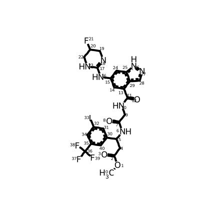 COC(=O)CC(NC(=O)CNC(=O)c1cc(NC2=NCC(F)CN2)cc2[nH]ncc12)c1cc(I)cc(C(F)(F)F)c1